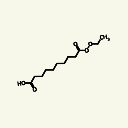 CCOOC(=O)CCCCCCCCC(=O)O